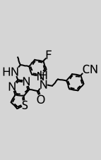 CC(Nc1nc(C(=O)NCCc2cccc(C#N)c2)c2sccc2n1)c1cncc(F)c1